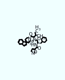 CC[C@H](C)[C@@H](C(=O)N1CCC2(C=Cc3ccccc32)CC1)N(C)C(=O)[C@H](CC1CCCCC1)NC(=O)c1ccno1